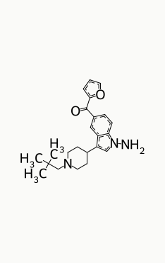 CC(C)(C)CN1CCC(c2cn(N)c3ccc(C(=O)c4ccco4)cc23)CC1